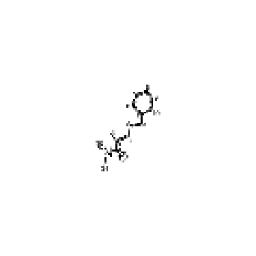 C/C(=C\C=C\c1ccccc1)C(=O)N(C)C